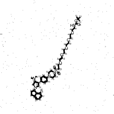 CN(C)[C@H]1CN(C2CCc3cccc(F)c32)C[C@@H]1c1ccc(N2CCN(S(=O)(=O)CCOCCOCCOCCOCCOCCNC(=O)OC(C)(C)C)CC2)cc1